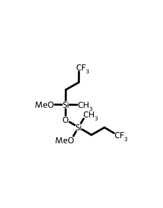 CO[Si](C)(CCC(F)(F)F)O[Si](C)(CCC(F)(F)F)OC